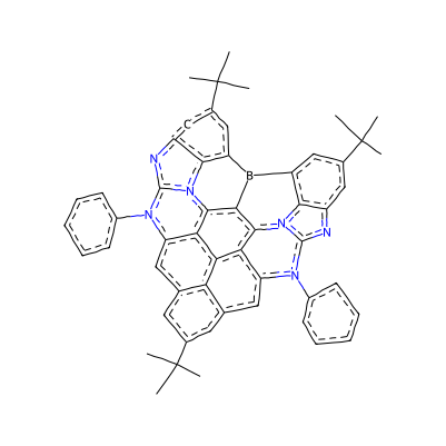 CC(C)(C)c1cc2cc3c4c5c2c(c1)cc1c5c2c5c4n4c6c(cc(C(C)(C)C)cc6nc4n3-c3ccccc3)B5c3cc(C(C)(C)C)cc4nc(n1-c1ccccc1)n2c34